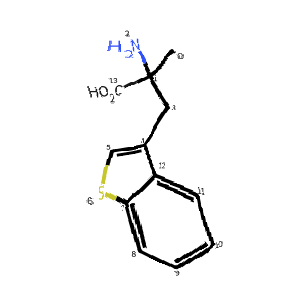 CC(N)(Cc1csc2ccccc12)C(=O)O